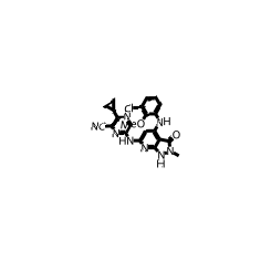 COc1c(Cl)cccc1Nc1cc(Nc2cnc(C3CC3)c(C#N)n2)nc2[nH]n(C)c(=O)c12